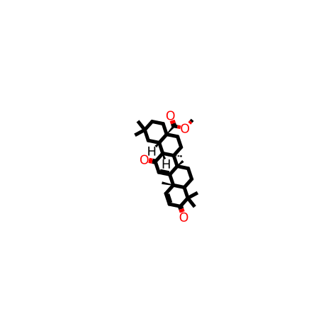 COC(=O)[C@]12CCC(C)(C)C[C@H]1[C@H]1C(=O)C=C3[C@@]4(C)C=CC(=O)C(C)(C)C4CC[C@@]3(C)[C@]1(C)CC2